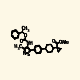 COC(=O)C1(C2CCC(c3ccc(-c4snc(C)c4NC(=O)O[C@H](C)c4ccccc4)cc3)CC2)CC1